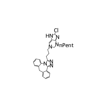 CCCCCN1CN(CCCc2nnc3n2-c2ccccc2Cc2ccccc2-3)C=C2NC(Cl)N=C21